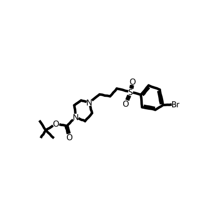 CC(C)(C)OC(=O)N1CCN(CCCS(=O)(=O)c2ccc(Br)cc2)CC1